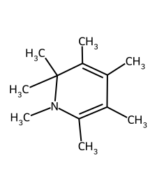 CC1=C(C)N(C)C(C)(C)C(C)=C1C